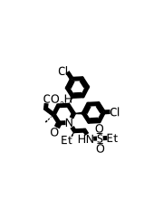 CC[C@@H](CNS(=O)(=O)CC)N1C(=O)[C@@](C)(CC(=O)O)C[C@H](c2cccc(Cl)c2)[C@H]1c1ccc(Cl)cc1